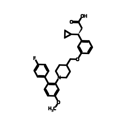 COc1ccc(-c2ccc(F)cc2)c(N2CCC(COc3cccc([C@@H](CC(=O)O)C4CC4)c3)CC2)c1